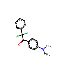 CN(C)c1ccc(C(=O)C(F)(F)c2ccccc2)cc1